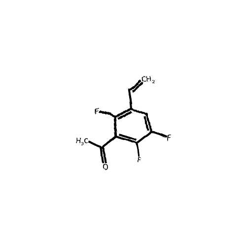 C=Cc1cc(F)c(F)c(C(C)=O)c1F